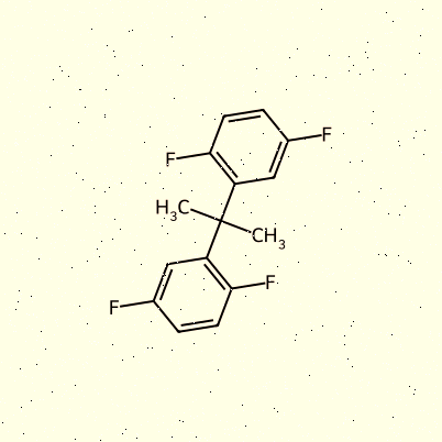 CC(C)(c1cc(F)ccc1F)c1cc(F)ccc1F